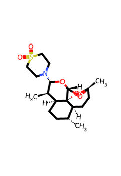 C[C@H]1[C@H](N2CCS(=O)(=O)CC2)O[C@@H]2O[C@@]3(C)CC[C@H]4[C@H](C)CC[C@@H]1[C@@]24OO3